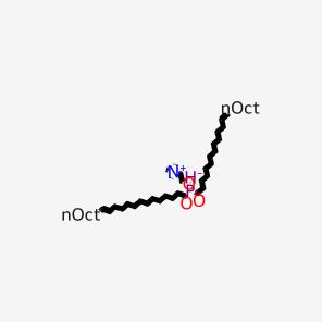 CCCCCCCCC=CCCCCCCCCCCCC(=O)[PH-](OCC[N+](C)(C)C)C(=O)CCCCCCCCCCCC=CCCCCCCCC